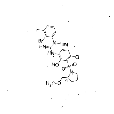 COC[C@@H]1CCCN1S(=O)(=O)c1c(Cl)ccc(NC(=N)N(C#N)c2cccc(F)c2Br)c1O